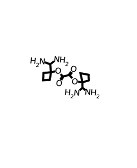 NC(N)C1(OC(=O)C(=O)OC2(C(N)N)CCC2)CCC1